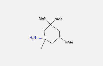 CNC1CC(C)(N)CC(NC)(NC)C1